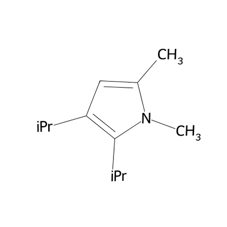 Cc1cc(C(C)C)c(C(C)C)n1C